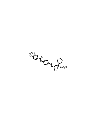 CCCCCCCCOc1ccc(C(=O)Oc2ccc(OCC(CC)C[C@@](F)(C(=O)O)C3CCCCC3)cc2)cc1